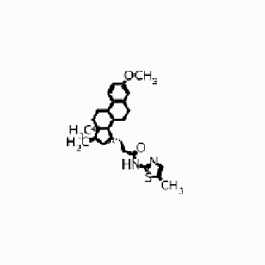 C=C1C[C@@H](CCC(=O)Nc2ncc(C)s2)C2C3CCc4cc(OC)ccc4C3CC[C@]12C